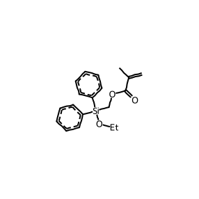 C=C(C)C(=O)OC[Si](OCC)(c1ccccc1)c1ccccc1